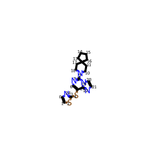 c1csc(Sc2cnc(N3CCC4(CCCC4)CC3)n3ccnc23)n1